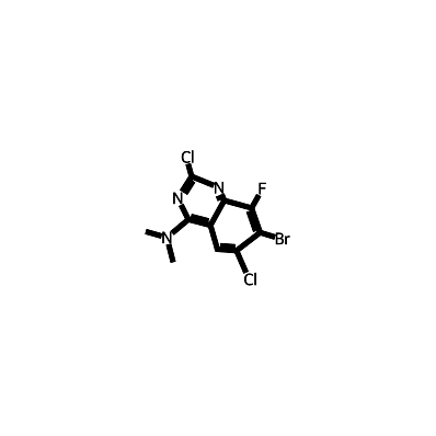 CN(C)c1nc(Cl)nc2c(F)c(Br)c(Cl)cc12